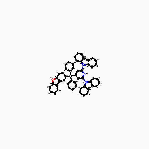 c1ccc([Si](c2ccccc2)(c2cc(-n3c4ccccc4c4ccccc43)nc(-n3c4ccccc4c4ccccc43)c2)c2ccc3oc4ccccc4c3c2)cc1